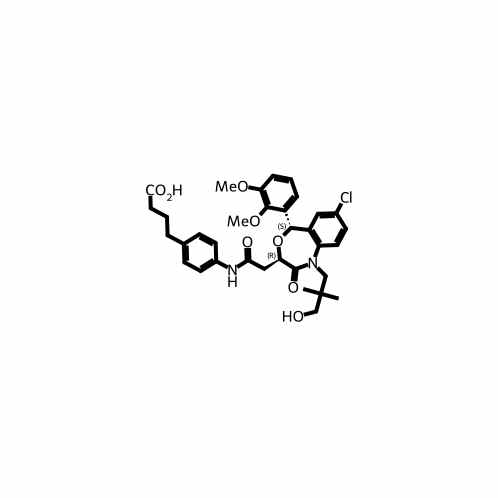 COc1cccc([C@H]2O[C@H](CC(=O)Nc3ccc(CCCC(=O)O)cc3)C(=O)N(CC(C)(C)CO)c3ccc(Cl)cc32)c1OC